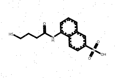 O=C(CCCS)Nc1cccc2cc(S(=O)(=O)O)ccc12